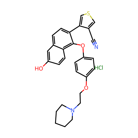 Cl.N#Cc1cscc1-c1ccc2cc(O)ccc2c1Oc1ccc(OCCN2CCCCC2)cc1